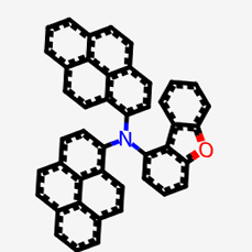 c1cc2ccc3ccc(N(c4ccc5ccc6cccc7ccc4c5c67)c4cccc5oc6ccccc6c45)c4ccc(c1)c2c34